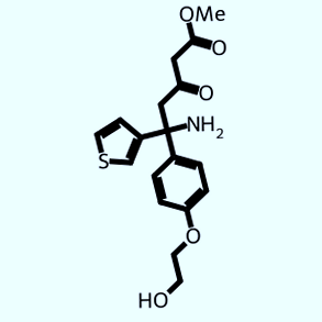 COC(=O)CC(=O)CC(N)(c1ccc(OCCO)cc1)c1ccsc1